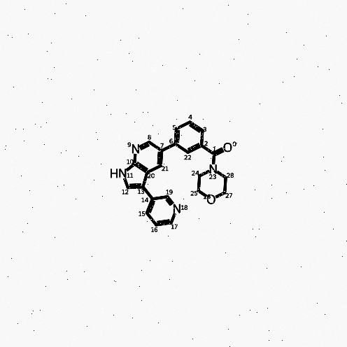 O=C(c1cccc(-c2cnc3[nH]cc(-c4cccnc4)c3c2)c1)N1CCOCC1